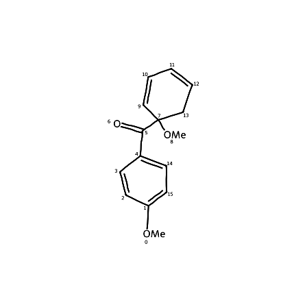 COc1ccc(C(=O)C2(OC)C=CC=CC2)cc1